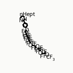 CCCCCCCc1cnc(-c2ccc(OC(F)C(F)(F)C(F)(F)C(F)(F)C(F)(F)C(F)(F)OC(F)(F)C(F)(F)OC(F)(F)C(F)(F)OC(F)(F)C(F)(F)OC(F)(F)F)cc2)nc1